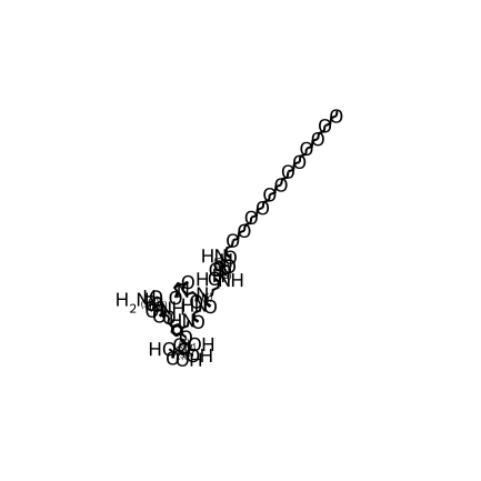 COCCOCCOCCOCCOCCOCCOCCOCCOCCOCCOCCOCCC(=O)N[C@H]1CO[C@H]2[C@@H]1OC[C@@H]2NC(=O)CCC[C@H](NC(=O)CCN1C(=O)C=CC1=O)C(=O)NCCC(=O)NCc1cc(COC(=O)N[C@H]2CO[C@H]3[C@@H]2OC[C@@H]3N)ccc1O[C@@H]1O[C@H](C(=O)O)[C@@H](O)[C@H](O)[C@H]1O